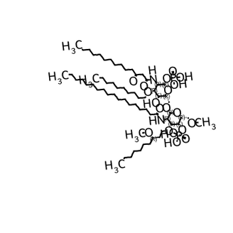 CCCCCCCCCCCCCCCCCC(=O)N[C@H]1[C@H](OC[C@H]2O[C@H](OP(=O)(O)O)[C@H](NC(=O)CC(=O)CCCCCCCCCCC)[C@@H](OCCCCCCCCCC)[C@@H]2O)O[C@H](COC)[C@@H](OP(=O)(O)O)[C@@H]1OCC[C@@H](CCCCCCC)OC